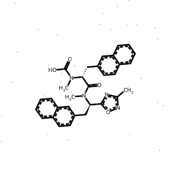 Cc1noc([C@@H](Cc2ccc3ccccc3c2)N(C)C(=O)[C@@H](Cc2ccc3ccccc3c2)N(C)C(=O)O)n1